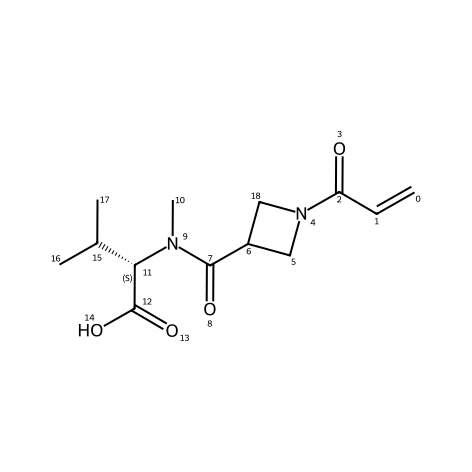 C=CC(=O)N1CC(C(=O)N(C)[C@H](C(=O)O)C(C)C)C1